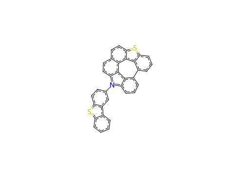 c1ccc2c(c1)sc1ccc(-n3c4cccc5c4c4c6c(ccc7sc8cccc-5c8c76)ccc43)cc12